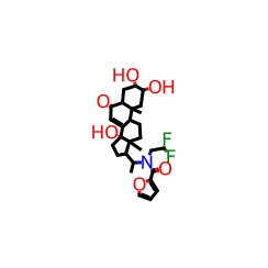 CC(C1CC[C@@]2(O)C3=CC(=O)C4CC(O)C(O)CC4(C)C3CCC12C)N(CC(F)F)C(=O)c1ccco1